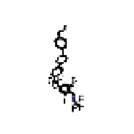 CCCC1CCC(C2CCC(C3CCC(C(F)(F)Oc4cc(F)c(/C=C/C(F)(F)F)c(F)c4)CC3)CC2)CC1